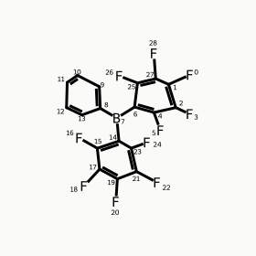 Fc1c(F)c(F)c(B(c2ccccc2)c2c(F)c(F)c(F)c(F)c2F)c(F)c1F